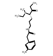 CCC(=O)[C@H](CCCNC(=O)Cc1cccc(N)c1)N(C)CC